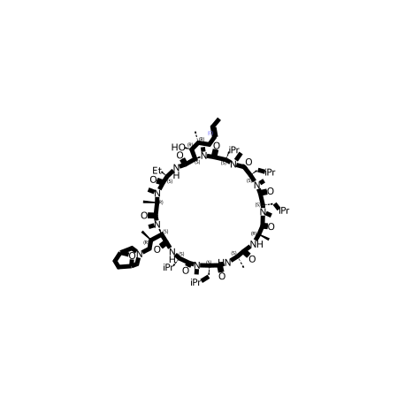 C/C=C/C[C@@H](C)[C@@H](O)[C@H]1C(=O)N[C@@H](CC)C(=O)N(C)[C@H](C)C(=O)N(C)[C@@H]([C@H](C)CN2CC3CCC(C2)O3)C(=O)N[C@@H](C(C)C)C(=O)N(C)[C@@H](CC(C)C)C(=O)N[C@@H](C)C(=O)N[C@H](C)C(=O)N(C)[C@@H](CC(C)C)C(=O)N(C)[C@@H](CC(C)C)C(=O)N(C)[C@@H](C(C)C)C(=O)N1C